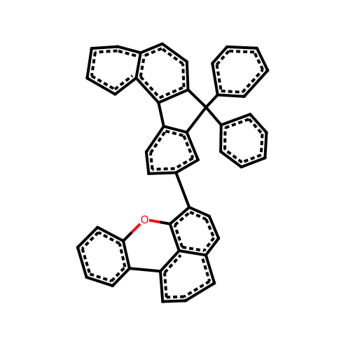 c1ccc(C2(c3ccccc3)c3cc(-c4ccc5cccc6c5c4Oc4ccccc4-6)ccc3-c3c2ccc2ccccc32)cc1